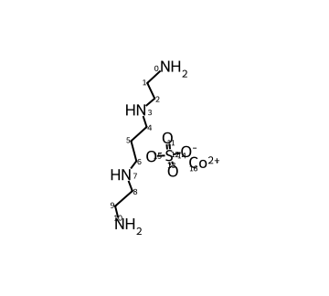 NCCNCCCNCCN.O=S(=O)([O-])[O-].[Co+2]